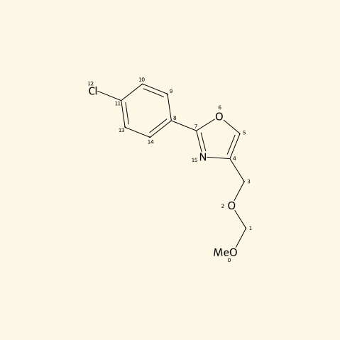 COCOCc1coc(-c2ccc(Cl)cc2)n1